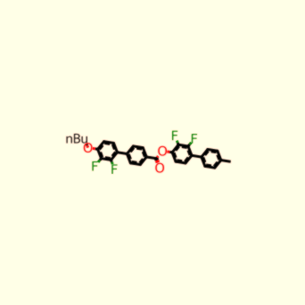 CCCCOc1ccc(-c2ccc(C(=O)Oc3ccc(-c4ccc(C)cc4)c(F)c3F)cc2)c(F)c1F